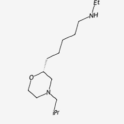 CCNCCCCC[C@@H]1CN(CC(C)C)CCO1